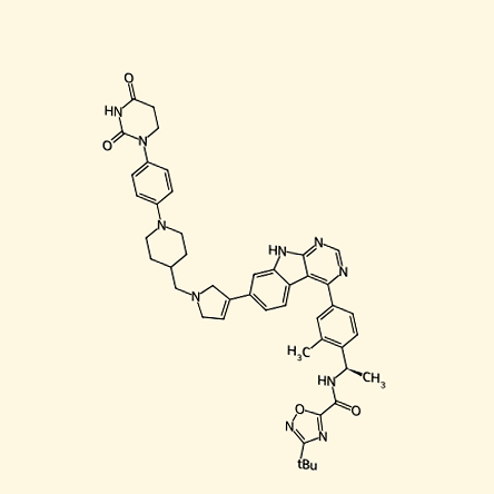 Cc1cc(-c2ncnc3[nH]c4cc(C5=CCN(CC6CCN(c7ccc(N8CCC(=O)NC8=O)cc7)CC6)C5)ccc4c23)ccc1[C@@H](C)NC(=O)c1nc(C(C)(C)C)no1